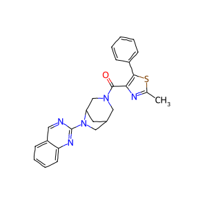 Cc1nc(C(=O)N2CC3CC(C2)N(c2ncc4ccccc4n2)C3)c(-c2ccccc2)s1